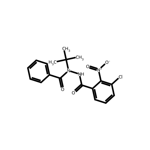 CC(C)(C)N(NC(=O)c1cccc(Cl)c1[N+](=O)[O-])C(=O)c1ccccc1